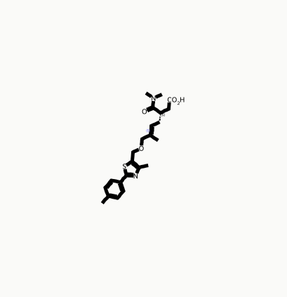 C/C(=C\C[C@@H](CC(=O)O)C(=O)N(C)C)COCc1sc(-c2ccc(C)cc2)nc1C